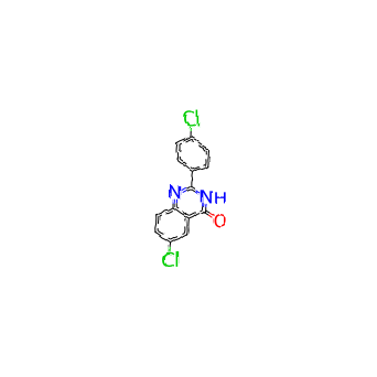 O=c1[nH]c(-c2ccc(Cl)cc2)nc2ccc(Cl)cc12